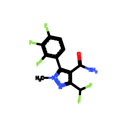 Cn1nc(C(F)F)c(C(N)=O)c1-c1ccc(F)c(F)c1F